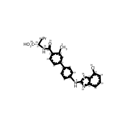 Cc1cc(-c2ccc(Nc3nc4cccc(Cl)c4s3)cc2)ccc1C(=O)N[C@H](C(=O)O)C(C)C